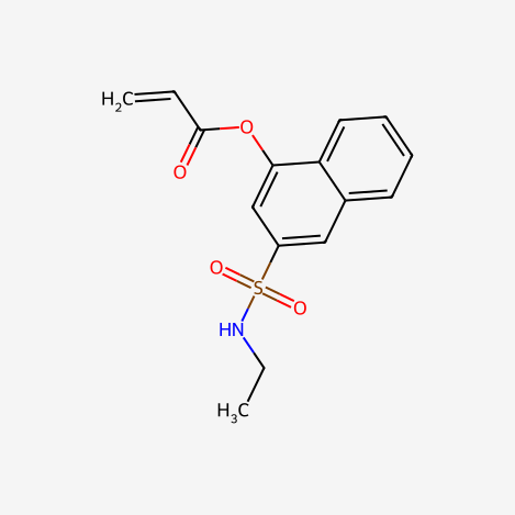 C=CC(=O)Oc1cc(S(=O)(=O)NCC)cc2ccccc12